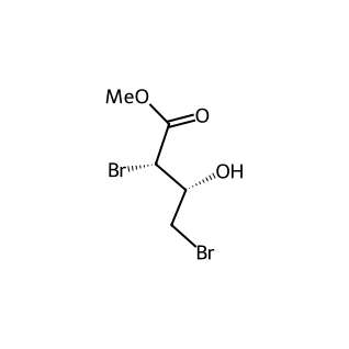 COC(=O)[C@@H](Br)[C@H](O)CBr